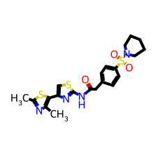 Cc1nc(C)c(-c2csc(NC(=O)Cc3ccc(S(=O)(=O)N4CCCCC4)cc3)n2)s1